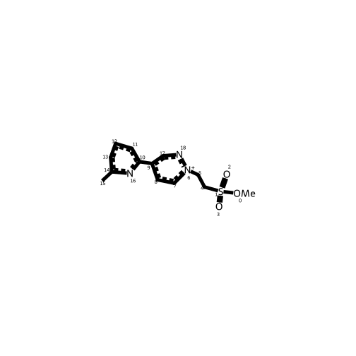 COS(=O)(=O)CC[n+]1ccc(-c2cccc(C)n2)cn1